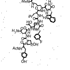 CNC(=N)NCCC[C@H](NC(=O)[C@H](CC(C)C)NC(=O)NNC(=O)[C@H](Cc1cccc(F)c1)NC(=O)[C@@H](NC(=O)[C@H](CC(N)=O)NC(=O)[C@@H]1C[C@@H](O)CN1C(=O)[C@@H](Cc1ccc(O)cc1)NC(C)=O)[C@@H](C)O)C(=O)N[C@@H](Cc1c[nH]c2ccccc12)C(N)=O